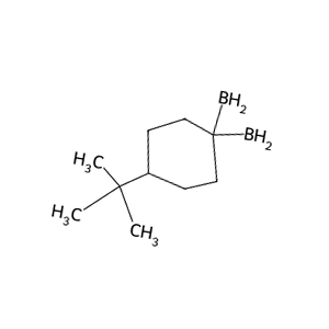 BC1(B)CCC(C(C)(C)C)CC1